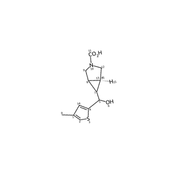 Cc1csc(C(O)C2C3CN(C(=O)O)C[C@H]32)c1